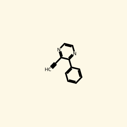 C#Cc1nccnc1-c1ccccc1